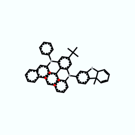 CC(C)(C)c1cc(N(c2ccccc2)c2ccc3c(c2)SC2C=CC=CC32C)c(-c2ccccc2)c(N(c2ccccc2)c2ccc3ccccc3c2)c1